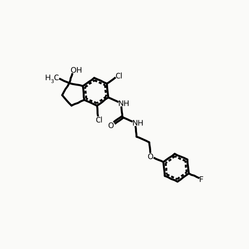 CC1(O)CCc2c1cc(Cl)c(NC(=O)NCCOc1ccc(F)cc1)c2Cl